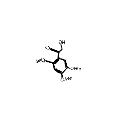 COc1cc(OC)c(C(=O)CO)cc1OC